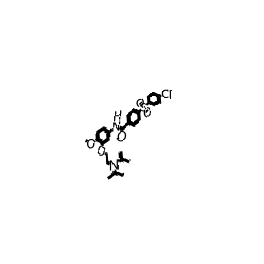 COc1ccc(NC(=O)c2ccc(S(=O)(=O)c3ccc(Cl)cc3)cc2)cc1OCCN(C(C)C)C(C)C